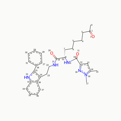 CC(=O)CCCCC[C@H](NC(=O)c1cc(C)n(C)n1)C(=O)NCCc1c(-c2ccccc2)[nH]c2ccccc12